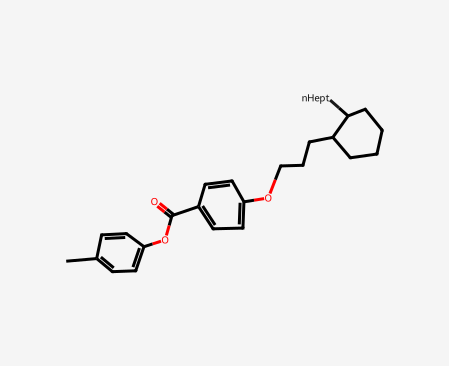 CCCCCCCC1CCCCC1CCCOc1ccc(C(=O)Oc2ccc(C)cc2)cc1